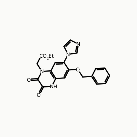 CCOC(=O)Cn1c(=O)c(=O)[nH]c2cc(OCc3ccccc3)c(-n3ccnc3)cc21